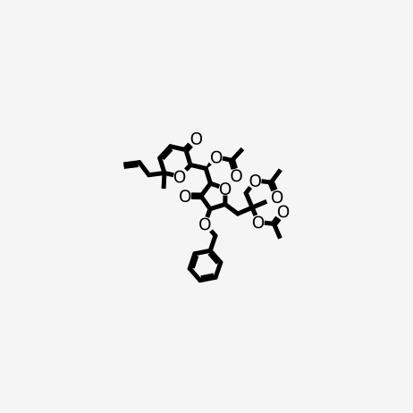 C=CCC1(C)C=CC(=O)C([C@@H](OC(C)=O)C2OC(CC(C)(COC(C)=O)OC(C)=O)C(OCc3ccccc3)C2=O)O1